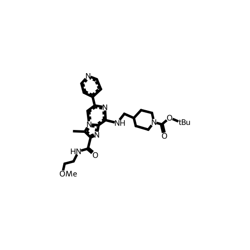 COCCNC(=O)c1nc2c(NCC3CCN(C(=O)OC(C)(C)C)CC3)nc(-c3ccncc3)cn2c1C